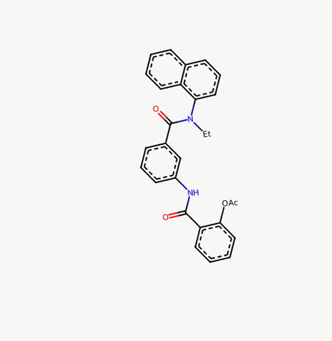 CCN(C(=O)c1cccc(NC(=O)c2ccccc2OC(C)=O)c1)c1cccc2ccccc12